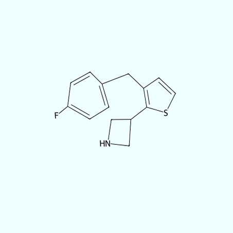 Fc1ccc(Cc2ccsc2C2CNC2)cc1